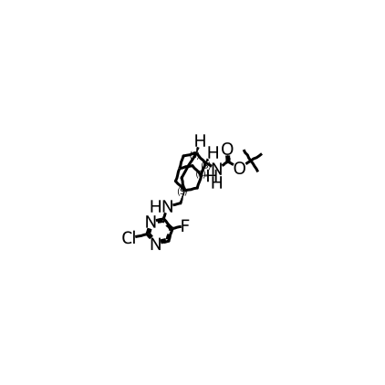 CC(C)(C)OC(=O)N[C@@H]1[C@@H]2CC3C[C@H]1C[C@@](CNc1nc(Cl)ncc1F)(C3)C2